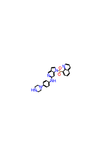 O=S(=O)(c1cccc2cccnc12)n1ccc2cnc(Nc3ccc(N4CCNCC4)cc3)cc21